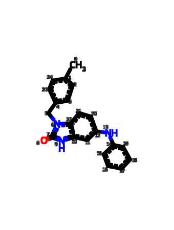 Cc1ccc(Cn2c(=O)[nH]c3cc(Nc4ccccc4)ccc32)cc1